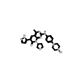 CCN1CCN(c2ccc(Nc3nc(C)c4cc(-c5ccn[nH]5)c(=O)n([C@@H]5CCOC5)c4n3)cc2)CC1